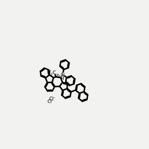 CCCC1=Cc2c(-c3cccc4ccccc34)cccc2C1c1cccc2c1[CH]([Zr+2][SiH](c1ccccc1)c1ccccc1)c1ccccc1-2.[Cl-].[Cl-]